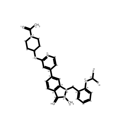 CC(=O)N1CCC(Oc2cc(-c3ccc4c(=O)n(C)n(Cc5ccccc5OC(F)F)c4c3)ccn2)CC1